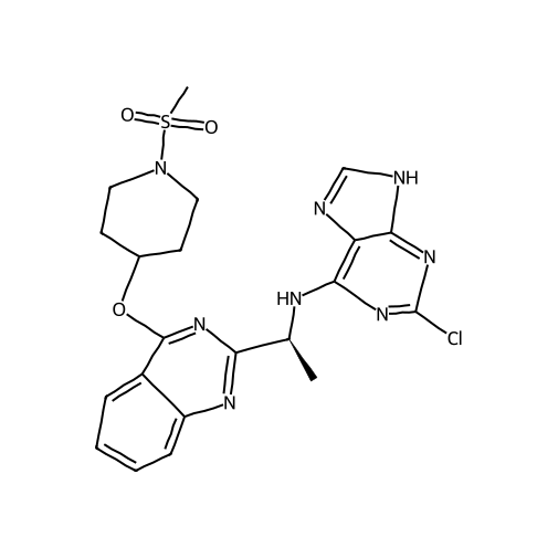 C[C@H](Nc1nc(Cl)nc2[nH]cnc12)c1nc(OC2CCN(S(C)(=O)=O)CC2)c2ccccc2n1